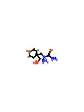 NC(=S)N(N)CC1(CO)CCSCC1